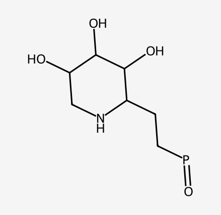 O=PCCC1NCC(O)C(O)C1O